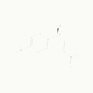 C[C@H](NC(=O)O)[C@H](O)c1ccc(C(F)(F)F)cc1